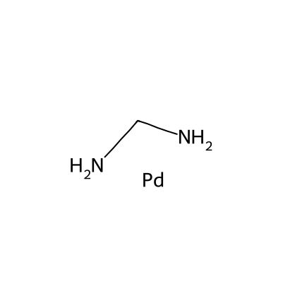 NCN.[Pd]